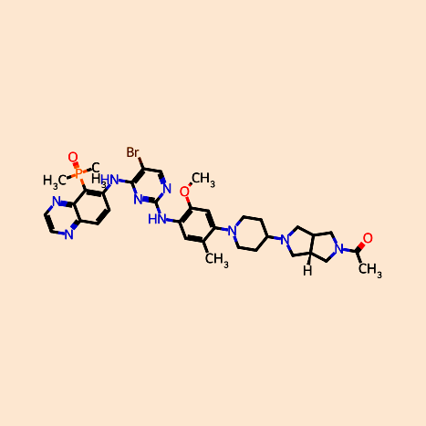 COc1cc(N2CCC(N3CC4CN(C(C)=O)C[C@@H]4C3)CC2)c(C)cc1Nc1ncc(Br)c(Nc2ccc3nccnc3c2P(C)(C)=O)n1